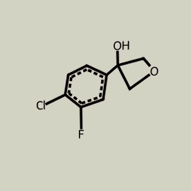 OC1(c2ccc(Cl)c(F)c2)COC1